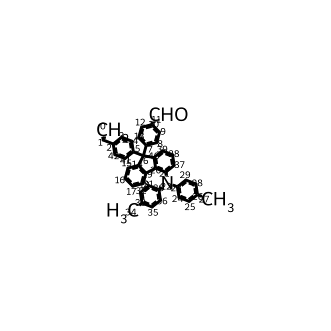 C=Cc1ccc(C2(c3ccc(C=O)cc3)c3ccccc3-c3c(N(c4ccc(C)cc4)c4ccc(C)cc4)cccc32)cc1